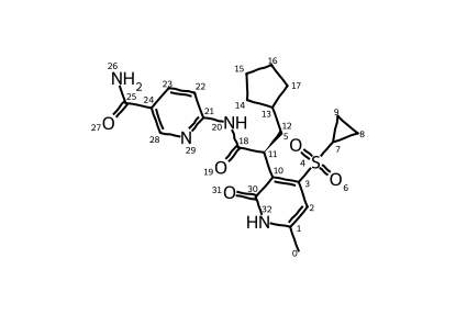 Cc1cc(S(=O)(=O)C2CC2)c([C@H](CC2CCCC2)C(=O)Nc2ccc(C(N)=O)cn2)c(=O)[nH]1